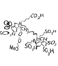 COCCOCCOCCC1(C)\C(=C/C=C/C=C/C=C/C2=[N+](CCCS(=O)(=O)O)c3ccc4c(S(=O)(=O)O)cc(S(=O)(=O)O)cc4c3C2(C)CCCS(=O)(=O)O)N(CCCCCC(=O)O)c2ccc3c(S(=O)(=O)[O-])cc(S(=O)(=O)O)cc3c21